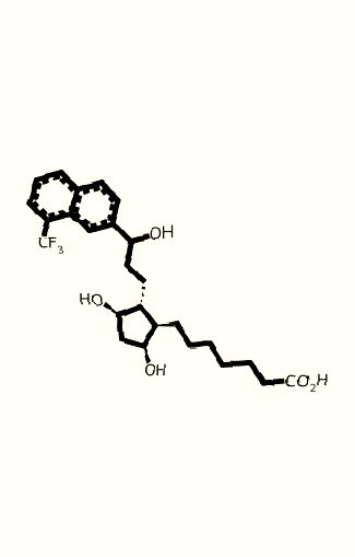 O=C(O)CCCCCC[C@@H]1[C@@H](CCC(O)c2ccc3cccc(C(F)(F)F)c3c2)[C@H](O)C[C@@H]1O